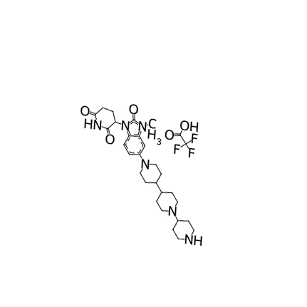 Cn1c(=O)n(C2CCC(=O)NC2=O)c2ccc(N3CCC(C4CCN(C5CCNCC5)CC4)CC3)cc21.O=C(O)C(F)(F)F